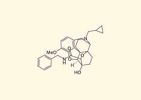 COc1ccc2c3c1OC1C4(O)CCC5(O[C@@H]4C(=O)NCc4ccccc4)C(C2)N(CC2CC2)CCC315